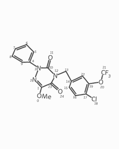 COc1nn(-c2ccccc2)c(=O)n(Cc2ccc(Cl)c(OC(F)(F)F)c2)c1=O